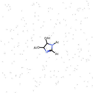 CC(=O)OC1N=C(C(C)=O)N(C(C)=O)C1OC(C)=O